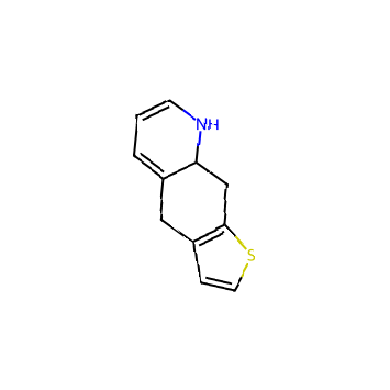 C1=CNC2Cc3sccc3CC2=C1